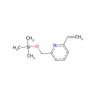 C=Cc1cccc(CO[Si](C)(C)C)n1